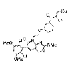 CNc1ncc2cc(-c3c(Cl)c(OC)cc(OC)c3Cl)c(=O)n(CCOC3CCCN(C(=O)/C(C#N)=C/C(C)(C)C)C3)c2n1